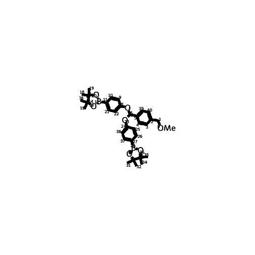 COCc1ccc(C(Oc2ccc(B3OC(C)(C)C(C)(C)O3)cc2)Oc2ccc(B3OC(C)(C)C(C)(C)O3)cc2)cc1